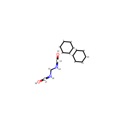 C1CCCCC1.C1CCCCC1.O=C=NCN=C=O